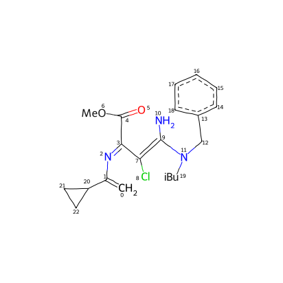 C=C(/N=C(C(=O)OC)\C(Cl)=C(/N)N(Cc1ccccc1)C(C)CC)C1CC1